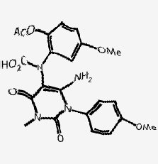 COc1ccc(-n2c(N)c(N(C(=O)O)c3cc(OC)ccc3OC(C)=O)c(=O)n(C)c2=O)cc1